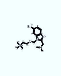 CN(C)Cc1nc2ccc(Br)cc2n1COCCS(C)(C)C